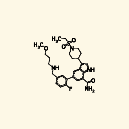 CCS(=O)(=O)N1CCC(c2c[nH]c3c(C(N)=O)cc(-c4cc(CNCCCOC)ccc4F)cc23)CC1